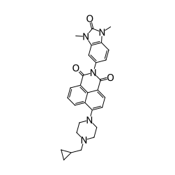 Cn1c(=O)n(C)c2cc(N3C(=O)c4cccc5c(N6CCN(CC7CC7)CC6)ccc(c45)C3=O)ccc21